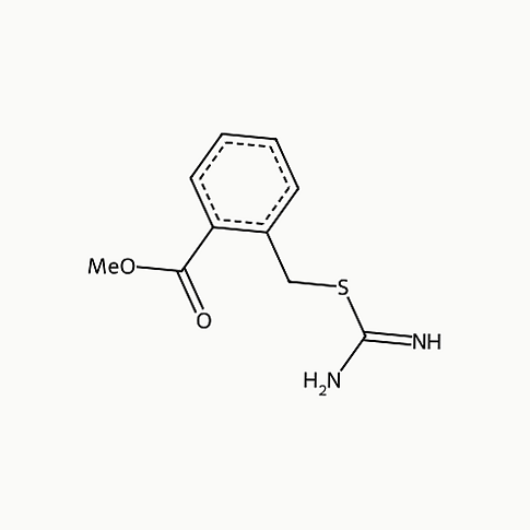 COC(=O)c1ccccc1CSC(=N)N